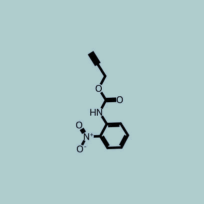 C#CCOC(=O)Nc1ccccc1[N+](=O)[O-]